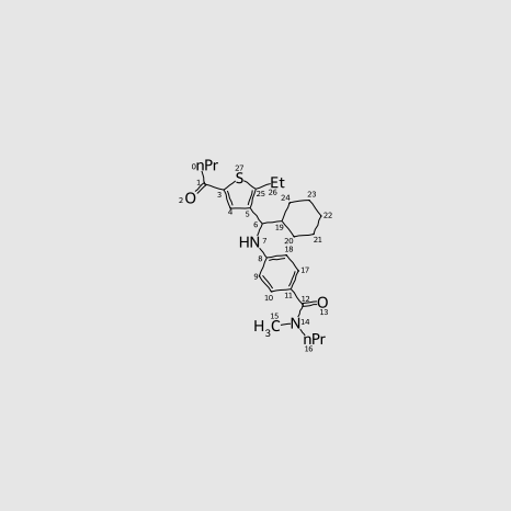 CCCC(=O)c1cc(C(Nc2ccc(C(=O)N(C)CCC)cc2)C2CCCCC2)c(CC)s1